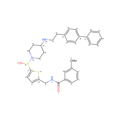 COc1cccc(C(=O)NCc2ccc([S+]([O-])N3CCC(NCCc4ccc(-c5ccccc5)cc4)CC3)s2)c1